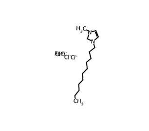 CCCCCCCCCCCN1C=CN(C)C1.[Cl-].[Cl-].[Cl-].[Cl-].[Fe+4]